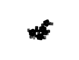 CC(=O)N1CC[C@H](Oc2cc(NC(=O)c3cc(F)cc(C(F)(F)F)c3)c3c(c2)C(=O)NC3c2cc(F)ccc2Cl)C1